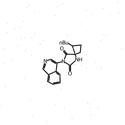 CCCCC1CCC12NC(=O)N(c1cncc3ccccc13)C2=O